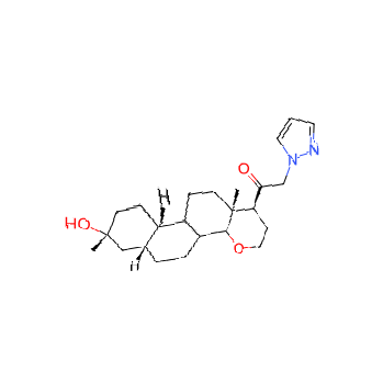 C[C@@]1(O)CC[C@@H]2C3CC[C@@]4(C)C(OCC[C@@H]4C(=O)Cn4cccn4)C3CC[C@@H]2C1